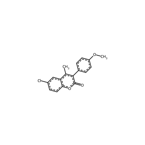 COc1ccc(-c2c(C)c3cc(Cl)ccc3oc2=O)cc1